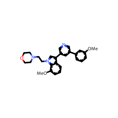 COc1cccc(-c2cncc(-c3cn(CCN4CCOCC4)c4c(OC)cccc34)c2)c1